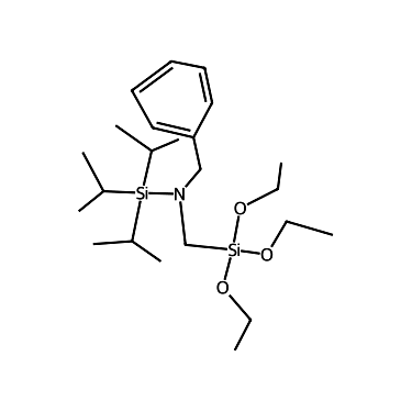 CCO[Si](CN(Cc1ccccc1)[Si](C(C)C)(C(C)C)C(C)C)(OCC)OCC